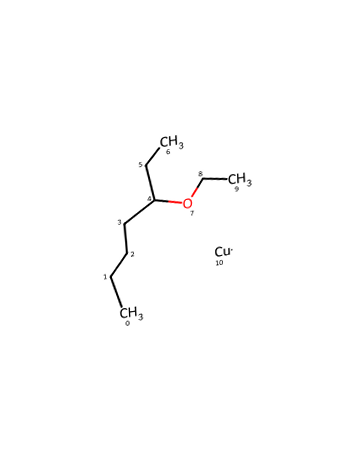 CCCCC(CC)OCC.[Cu]